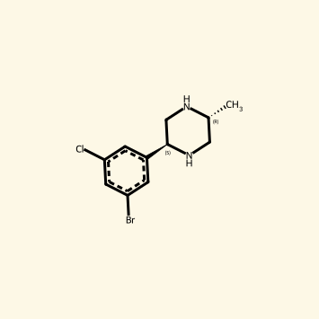 C[C@@H]1CN[C@@H](c2cc(Cl)cc(Br)c2)CN1